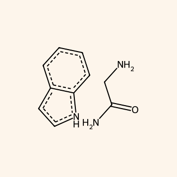 NCC(N)=O.c1ccc2[nH]ccc2c1